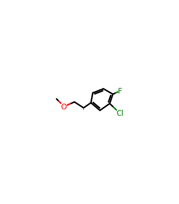 COC[CH]c1ccc(F)c(Cl)c1